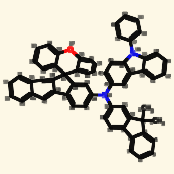 CC1(C)c2ccccc2-c2ccc(N(c3ccc4c(c3)C3(c5ccccc5Oc5ccccc53)c3cc5ccccc5cc3-4)c3ccc4c(c3)c3ccccc3n4-c3ccccc3)cc21